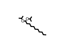 CCCCCCCCCCC(OC(C)C)OC(C)C